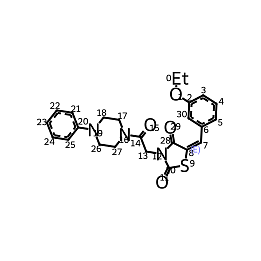 CCOc1cccc(/C=C2/SC(=O)N(CC(=O)N3CCN(c4ccccc4)CC3)C2=O)c1